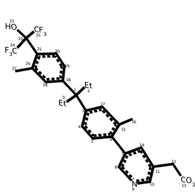 CCC(CC)(c1ccc(-c2cncc(CC(=O)O)c2)c(C)c1)c1ccc(C(O)(C(F)(F)F)C(F)(F)F)c(C)c1